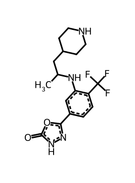 CC(CC1CCNCC1)Nc1cc(-c2n[nH]c(=O)o2)ccc1C(F)(F)F